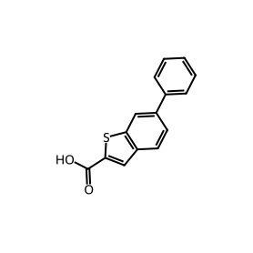 O=C(O)c1cc2ccc(-c3ccccc3)cc2s1